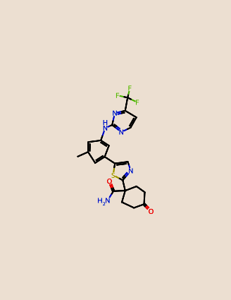 Cc1cc(Nc2nccc(C(F)(F)F)n2)cc(-c2cnc(C3(C(N)=O)CCC(=O)CC3)s2)c1